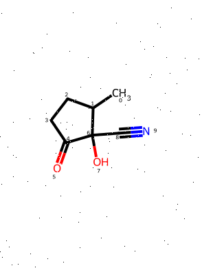 CC1CCC(=O)C1(O)C#N